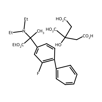 CCOC(=O)C(C)(c1ccc(-c2ccccc2)c(F)c1)N(CC)CC.O=C(O)CC(O)(CC(=O)O)C(=O)O